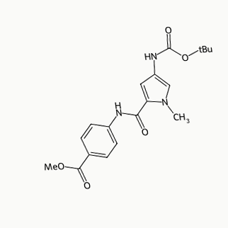 COC(=O)c1ccc(NC(=O)c2cc(NC(=O)OC(C)(C)C)cn2C)cc1